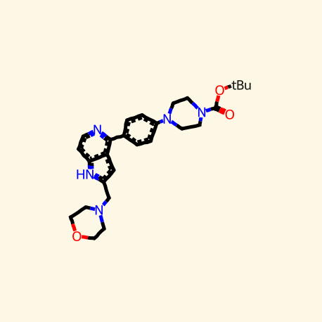 CC(C)(C)OC(=O)N1CCN(c2ccc(-c3nccc4[nH]c(CN5CCOCC5)cc34)cc2)CC1